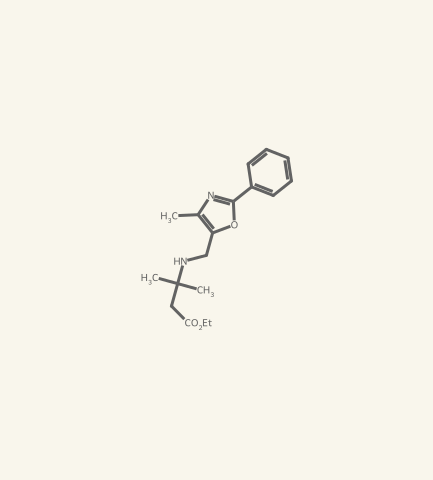 CCOC(=O)CC(C)(C)NCc1oc(-c2ccccc2)nc1C